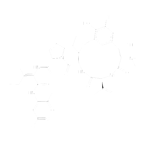 C=C(C)[C@@H]1NC(=O)[C@@H](NC)[C@@H](O)c2cc(Cl)c(O)c(c2)O[C@](C)(CC)[C@@H](C(=O)N2CC=C[C@H]2C(=O)N/C(C(=O)N/C(=C/C(=O)O)C(C)=O)=C(\C)CC)NC1=O